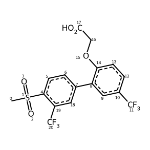 CS(=O)(=O)c1ccc(-c2cc(C(F)(F)F)ccc2OCC(=O)O)cc1C(F)(F)F